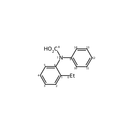 CCc1ccccc1N(C(=O)O)c1ccccc1